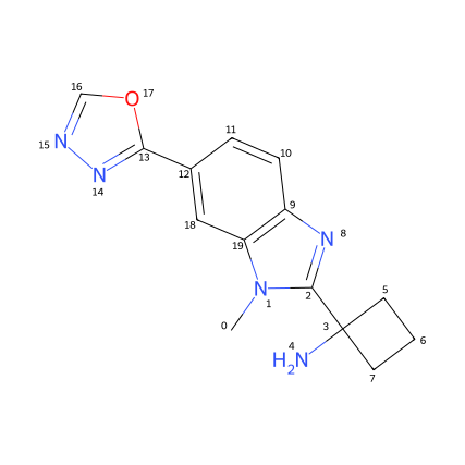 Cn1c(C2(N)CCC2)nc2ccc(-c3nnco3)cc21